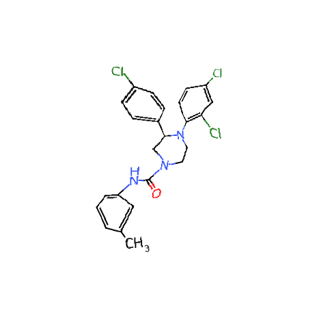 Cc1cccc(NC(=O)N2CCN(c3ccc(Cl)cc3Cl)C(c3ccc(Cl)cc3)C2)c1